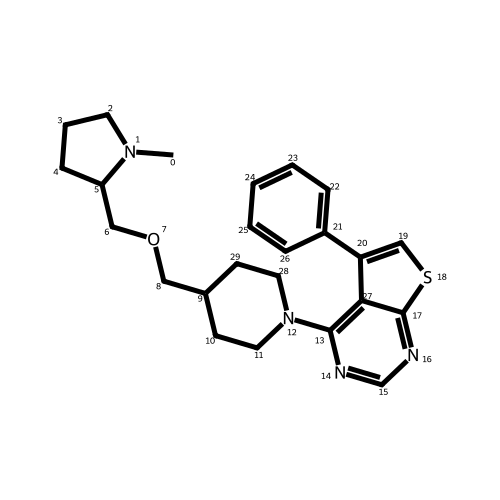 CN1CCCC1COCC1CCN(c2ncnc3scc(-c4ccccc4)c23)CC1